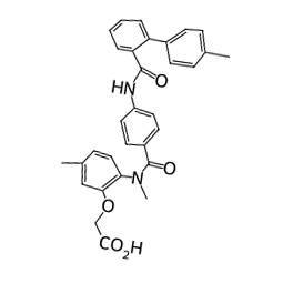 Cc1ccc(-c2ccccc2C(=O)Nc2ccc(C(=O)N(C)c3ccc(C)cc3OCC(=O)O)cc2)cc1